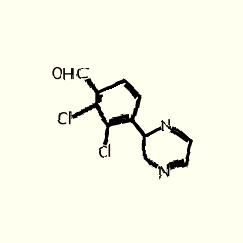 O=Cc1ccc(C2CN=CC=N2)c(Cl)c1Cl